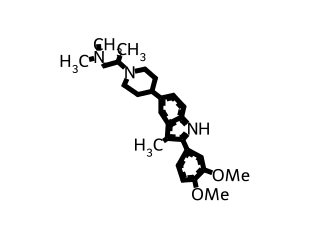 COc1ccc(-c2[nH]c3ccc(C4CCN(C(C)CN(C)C)CC4)cc3c2C)cc1OC